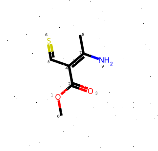 COC(=O)C(C=S)=C(C)N